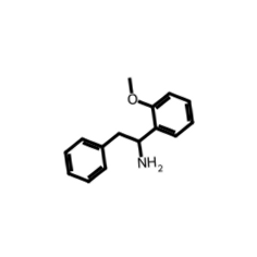 COc1ccccc1C(N)Cc1ccccc1